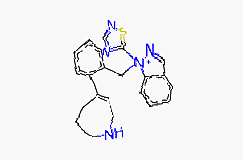 C1=N[N+](Cc2ccccc2C2=CCNCCC2)(c2ncns2)c2ccccc21